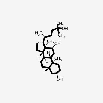 C[C@H](CCC(C)(C)O)[C@H]1CC[C@H]2[C@@H]3CC[C@H]4C[C@H](O)CC[C@]4(C)[C@H]3C[C@H](O)[C@]12C